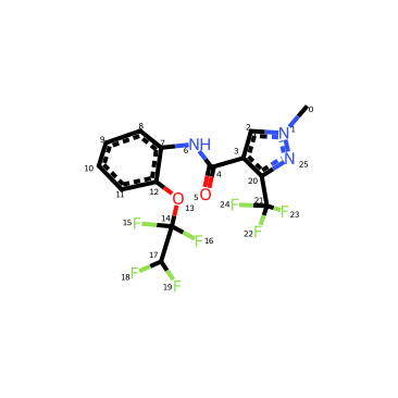 Cn1cc(C(=O)Nc2ccccc2OC(F)(F)C(F)F)c(C(F)(F)F)n1